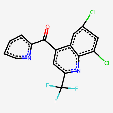 O=C(c1ccccn1)c1cc(C(F)(F)F)nc2c(Cl)cc(Cl)cc12